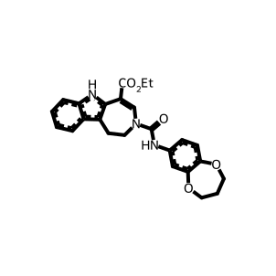 CCOC(=O)C1=CN(C(=O)Nc2ccc3c(c2)OCCCO3)CCc2c1[nH]c1ccccc21